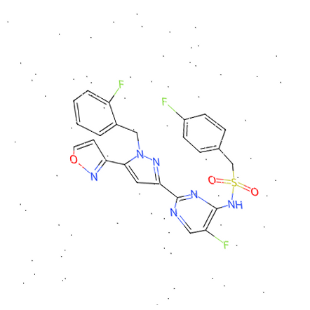 O=S(=O)(Cc1ccc(F)cc1)Nc1nc(-c2cc(-c3ccon3)n(Cc3ccccc3F)n2)ncc1F